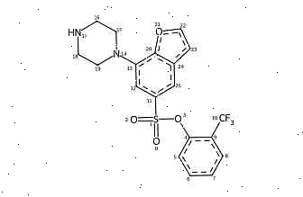 O=S(=O)(Oc1ccccc1C(F)(F)F)c1cc(N2CCNCC2)c2occc2c1